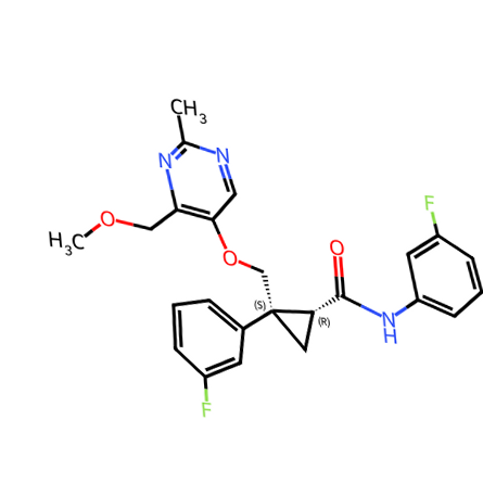 COCc1nc(C)ncc1OC[C@@]1(c2cccc(F)c2)C[C@H]1C(=O)Nc1cccc(F)c1